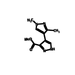 COC(=O)c1n[nH]cc1-c1cn(C)nc1C